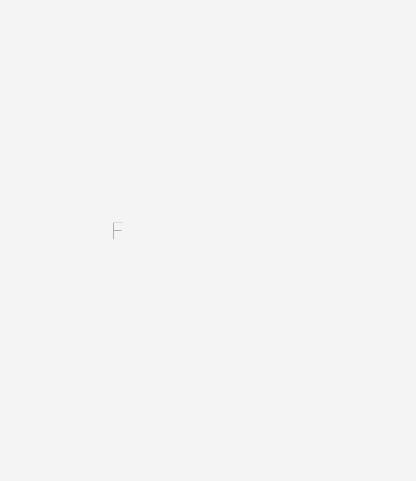 CCC1(F)CCC(C)CC1